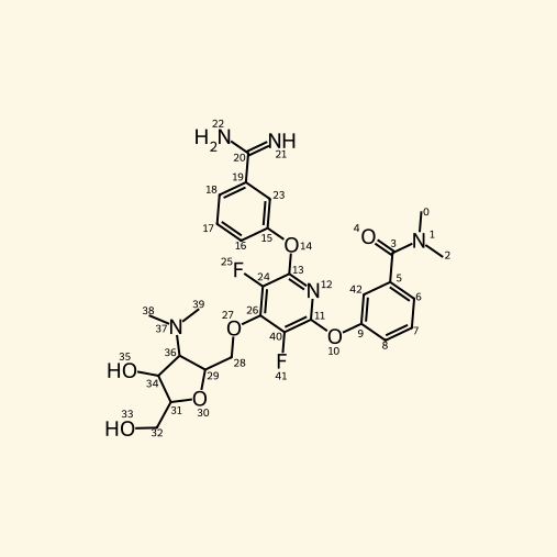 CN(C)C(=O)c1cccc(Oc2nc(Oc3cccc(C(=N)N)c3)c(F)c(OCC3OC(CO)C(O)C3N(C)C)c2F)c1